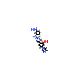 CNC1CCC(F)[C@@H](N(C)c2ncc(-c3ccc(-n4ccnc4)cc3O)nn2)C1